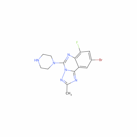 Cc1nc2c3cc(Br)cc(F)c3nc(N3CCNCC3)n2n1